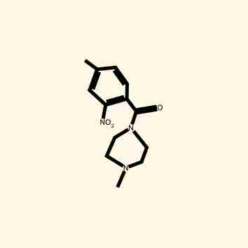 Cc1ccc(C(=O)N2CCN(C)CC2)c([N+](=O)[O-])c1